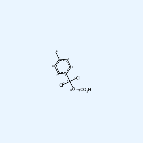 Cc1ccc(C(Cl)(Cl)OC(=O)O)cc1